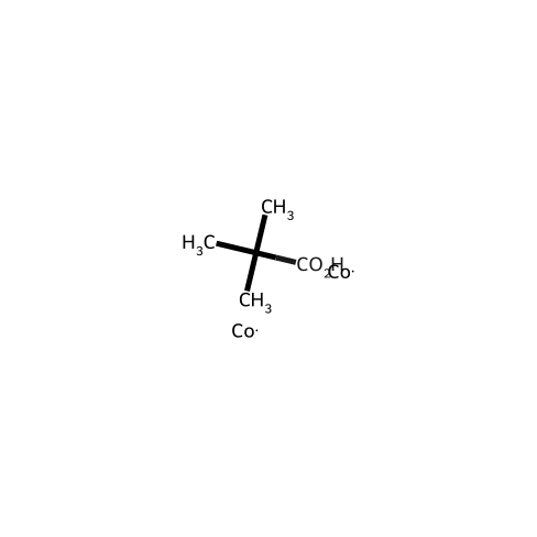 CC(C)(C)C(=O)O.[Co].[Co]